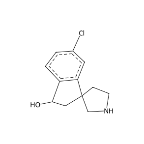 OC1CC2(CCNC2)c2cc(Cl)ccc21